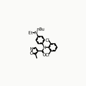 CCCCN(CC)c1ccc(N(C(=O)c2cnoc2C)c2c(Cl)cccc2Cl)cc1